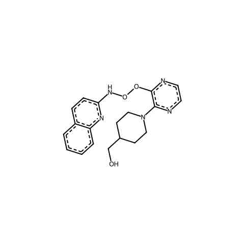 OCC1CCN(c2nccnc2OONc2ccc3ccccc3n2)CC1